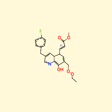 CCOOCC1=CC(/C=C/C(=O)OC)C2C=C(Cc3ccc(F)cc3)C=NC2=C1O